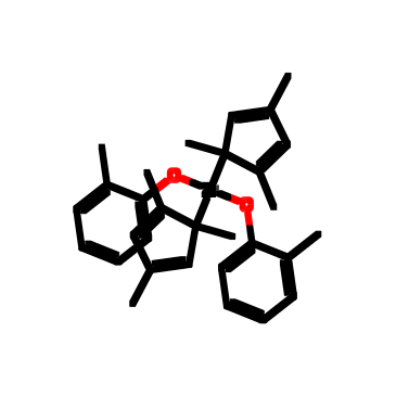 CC1=C[C](C)([Zr]([O]c2ccccc2C)([O]c2ccccc2C)[C]2(C)C=C(C)C=C2C)C(C)=C1